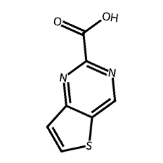 O=C(O)c1ncc2sccc2n1